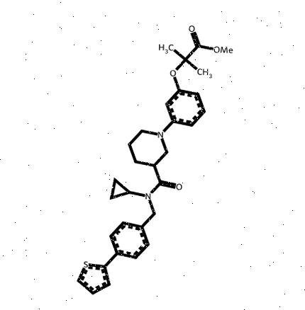 COC(=O)C(C)(C)Oc1cccc(N2CCCC(C(=O)N(Cc3ccc(-c4cccs4)cc3)C3CC3)C2)c1